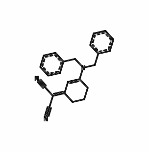 N#CC(C#N)=C1C=C(N(Cc2ccccc2)Cc2ccccc2)CCC1